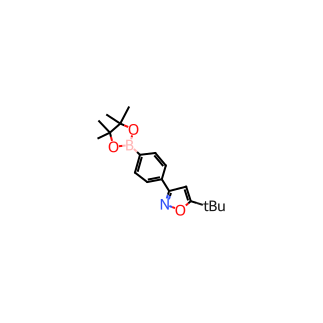 CC(C)(C)c1cc(-c2ccc(B3OC(C)(C)C(C)(C)O3)cc2)no1